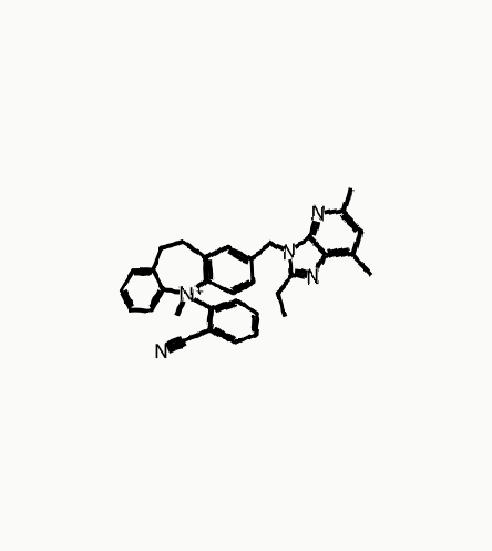 CCc1nc2c(C)cc(C)nc2n1Cc1ccc2c(c1)CCc1ccccc1[N+]2(C)c1ccccc1C#N